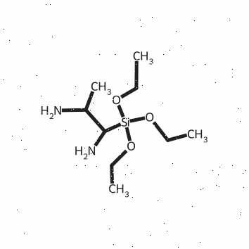 CCO[Si](OCC)(OCC)C(N)C(C)N